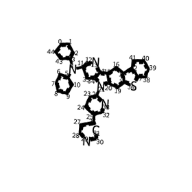 c1ccc(N(c2ccccc2)c2cnc3c4cc5c(cc4n(-c4ccc(-c6ccncc6)cn4)c3c2)sc2ccccc25)cc1